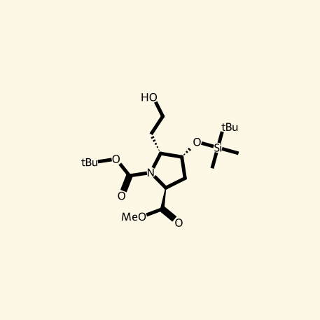 COC(=O)[C@@H]1C[C@@H](O[Si](C)(C)C(C)(C)C)[C@@H](CCO)N1C(=O)OC(C)(C)C